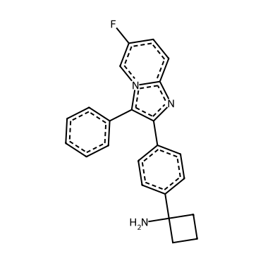 NC1(c2ccc(-c3nc4ccc(F)cn4c3-c3ccccc3)cc2)CCC1